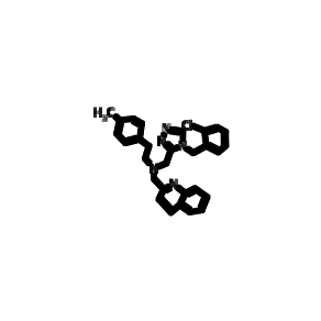 Cc1ccc(CCN(Cc2ccc3ccccc3n2)Cc2nncn2Cc2ccccc2Cl)cc1